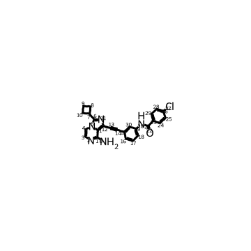 Nc1nccn2c(C3CCC3)nc(C#Cc3cccc(NC(=O)c4ccc(Cl)cc4)c3)c12